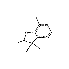 Cc1cccc2c1OC(C)C2(C)C